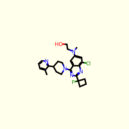 Cc1cccnc1C1CCN(c2nc(C3(F)CCC3)nc3c(Cl)cc(N(C)CCO)cc23)CC1